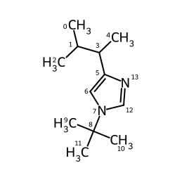 CC(C)C(C)c1cn(C(C)(C)C)cn1